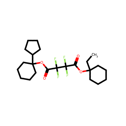 CCC1(OC(=O)C(F)(F)C(F)(F)C(=O)OC2(C3CCCC3)CCCCC2)CCCCC1